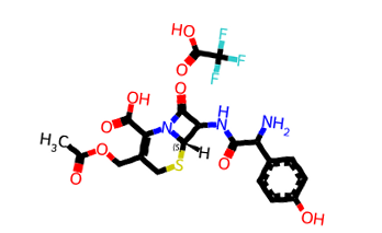 CC(=O)OCC1=C(C(=O)O)N2C(=O)C(NC(=O)C(N)c3ccc(O)cc3)[C@@H]2SC1.O=C(O)C(F)(F)F